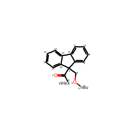 CCCCCCC(=O)C1(COCCCC)c2ccccc2-c2ccccc21